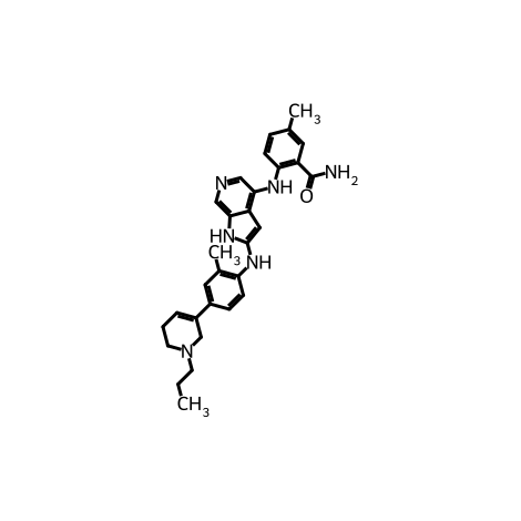 CCCN1CCC=C(c2ccc(Nc3cc4c(Nc5ccc(C)cc5C(N)=O)cncc4[nH]3)c(C)c2)C1